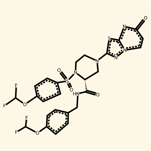 O=C(NCc1ccc(OC(F)F)cc1)[C@H]1CN(c2nn3ccc(=O)nc3s2)CCN1S(=O)(=O)c1ccc(OC(F)F)cc1